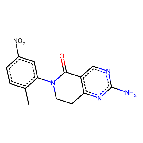 Cc1ccc([N+](=O)[O-])cc1N1CCc2nc(N)ncc2C1=O